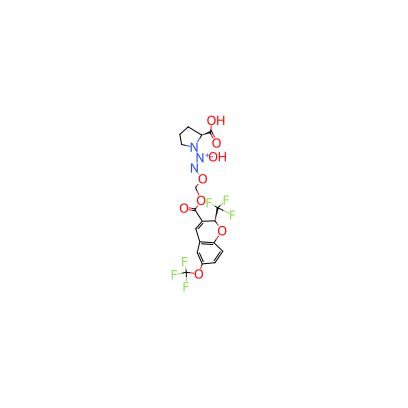 O=C(OCO/N=[N+](\O)N1CCC[C@H]1C(=O)O)C1=Cc2cc(OC(F)(F)F)ccc2O[C@@H]1C(F)(F)F